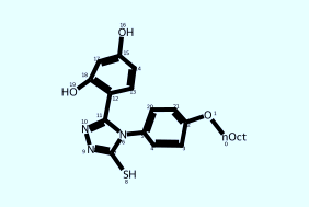 CCCCCCCCOc1ccc(-n2c(S)nnc2-c2ccc(O)cc2O)cc1